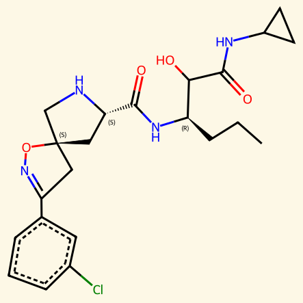 CCC[C@@H](NC(=O)[C@@H]1C[C@@]2(CN1)CC(c1cccc(Cl)c1)=NO2)C(O)C(=O)NC1CC1